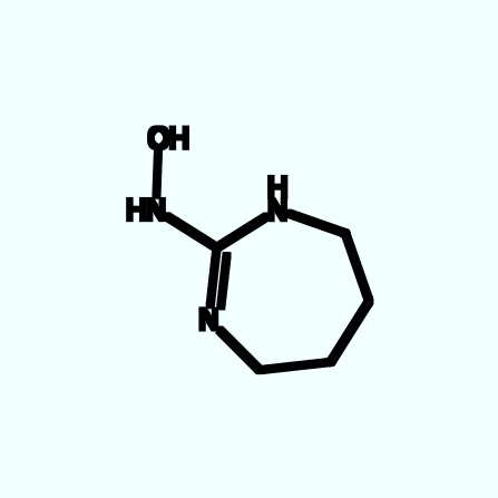 ONC1=NCCCCN1